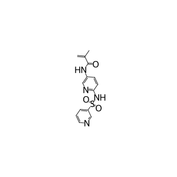 C=C(C)C(=O)Nc1ccc(NS(=O)(=O)c2cccnc2)nc1